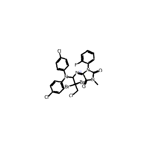 CN1C(=O)/C(=N\C(N(c2ccc(Cl)cc2)c2ccc(Cl)cc2)C(Br)(Br)CCl)N(c2ccccc2F)C1=O